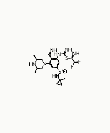 CC1CN(c2cc([S+]([O-])NC3(C)CC3)cc(NC(=N)SC(=N)C(F)F)c2C=N)CC(C)N1